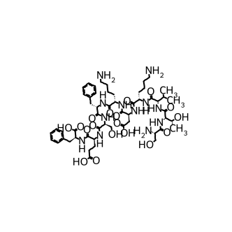 CC(C)[C@H](NC(=O)[C@@H](NC(=O)[C@@H](N)CO)[C@@H](C)O)C(=O)N[C@@H](CCCCN)C(=O)N[C@@H](CC(=O)O)C(=O)N[C@@H](CCCCN)C(=O)N[C@@H](Cc1ccccc1)C(=O)N[C@@H](CO)C(=O)N[C@@H](CCC(=O)O)C(=O)N[C@@H](Cc1ccccc1)C(=O)O